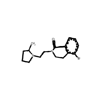 CC1CCCN1CCN1CCc2c(Br)cccc2C1=O